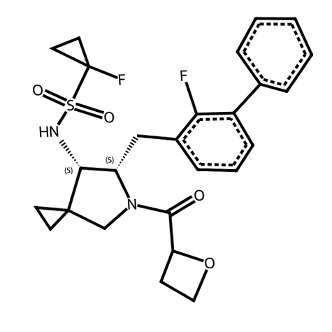 O=C(C1CCO1)N1CC2(CC2)[C@H](NS(=O)(=O)C2(F)CC2)[C@@H]1Cc1cccc(-c2ccccc2)c1F